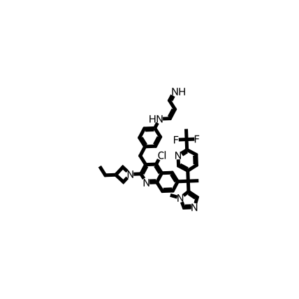 CCC1CN(c2nc3ccc(C(C)(c4ccc(C(C)(F)F)nc4)c4cncn4C)cc3c(Cl)c2Cc2ccc(N/C=C\C=N)cc2)C1